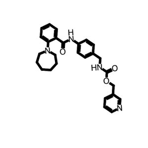 O=C(NCc1ccc(NC(=O)c2ccccc2N2CCCCCC2)cc1)OCc1cccnc1